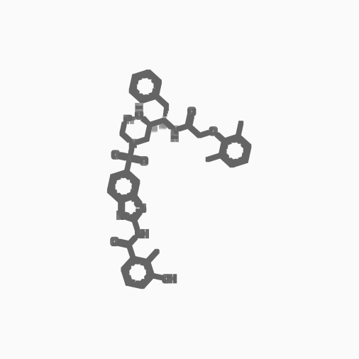 Cc1cccc(C)c1OCC(=O)N[C@@H](Cc1ccccc1)[C@H](O)CN(CC(C)C)S(=O)(=O)c1ccc2nc(NC(=O)c3cccc(O)c3C)sc2c1